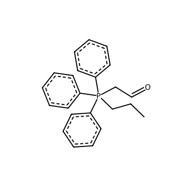 CCCP(CC=O)(c1ccccc1)(c1ccccc1)c1ccccc1